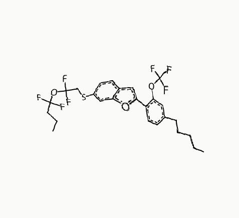 CCCCCc1ccc(-c2cc3ccc(SCC(F)(F)OC(F)(F)CCC)cc3o2)c(OC(F)(F)F)c1